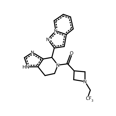 O=C(C1CN(CC(F)(F)F)C1)N1CCc2[nH]cnc2C1c1cc2ccccn2n1